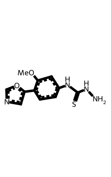 COc1cc(NC(=S)NN)ccc1-c1cnco1